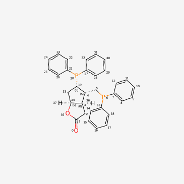 O=C1C[C@@H]2[C@@H](CP(c3ccccc3)c3ccccc3)[C@@H](P(c3ccccc3)c3ccccc3)C[C@@H]2O1